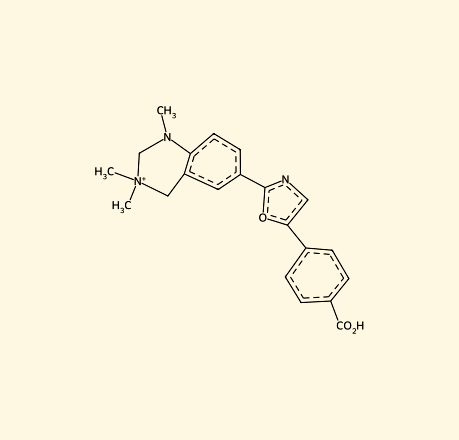 CN1C[N+](C)(C)Cc2cc(-c3ncc(-c4ccc(C(=O)O)cc4)o3)ccc21